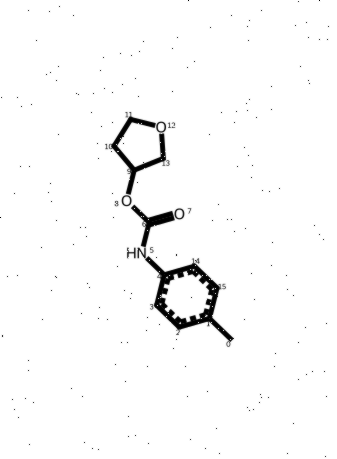 Cc1ccc(NC(=O)OC2CCOC2)cc1